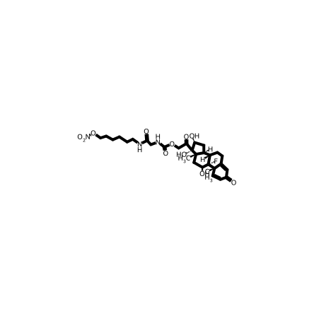 C[C@]12C=CC(=O)C=C1CC[C@H]1[C@@H]3C[C@@H](O)[C@](O)(C(=O)COC(=O)NCC(=O)NCCCCCCO[N+](=O)[O-])[C@@]3(C)C[C@H](O)[C@@]12F